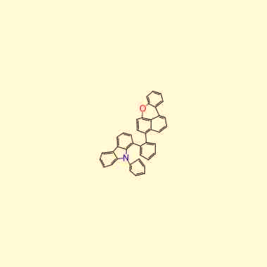 c1ccc(-n2c3ccccc3c3cccc(-c4ccccc4-c4ccc5c6c(cccc46)-c4ccccc4O5)c32)cc1